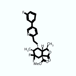 COC(=O)[C@@]12CC(F)(F)[C@@H](C)[C@H](CCc3ccc(-c4cccc(F)c4)cn3)[C@@H]1[C@@H](C)OC2=O